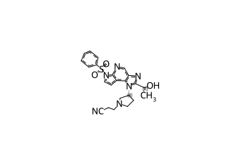 C[C@@H](O)c1nc2cnc3c(ccn3S(=O)(=O)c3ccccc3)c2n1[C@@H]1CCN(CCC#N)C1